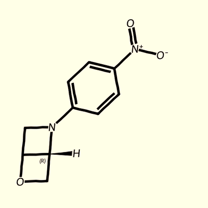 O=[N+]([O-])c1ccc(N2CC3OC[C@H]32)cc1